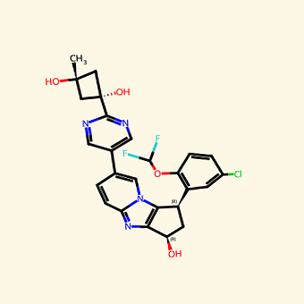 C[C@]1(O)C[C@](O)(c2ncc(-c3ccc4nc5c(n4c3)[C@@H](c3cc(Cl)ccc3OC(F)F)C[C@H]5O)cn2)C1